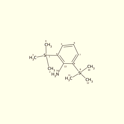 C[Si](C)(C)c1cccc([Si](C)(C)C)c1N